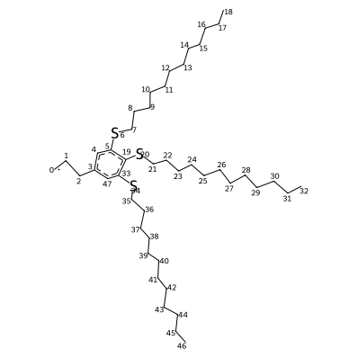 [CH2]CCc1cc(SCCCCCCCCCCCC)c(SCCCCCCCCCCCC)c(SCCCCCCCCCCCC)c1